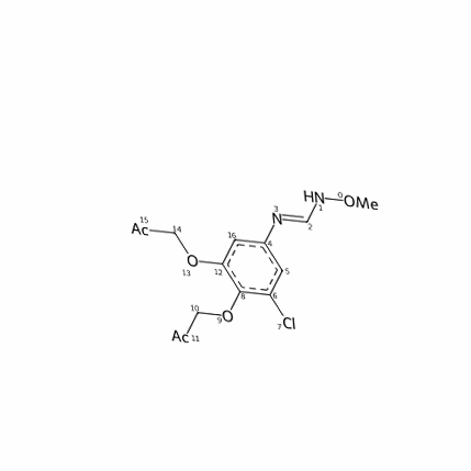 CONC=Nc1cc(Cl)c(OCC(C)=O)c(OCC(C)=O)c1